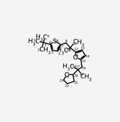 CC(C)(C)c1ccc(CC(C)(C)c2ccc(CC(C)(C)C3CCCO3)o2)s1